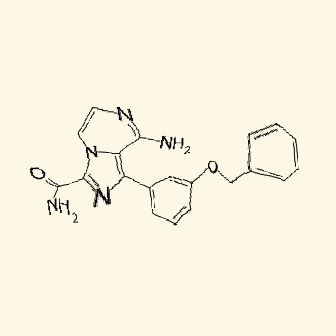 NC(=O)c1nc(-c2cccc(OCc3ccccc3)c2)c2c(N)nccn12